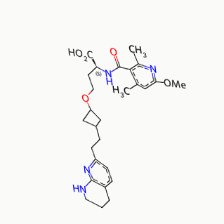 COc1cc(C)c(C(=O)N[C@@H](CCOC2CC(CCc3ccc4c(n3)NCCC4)C2)C(=O)O)c(C)n1